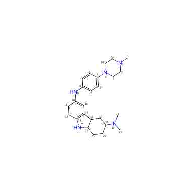 CN1CCN(c2ccc(Nc3ccc4c(c3)C3CC(N(C)C)CCC3N4)cc2)CC1